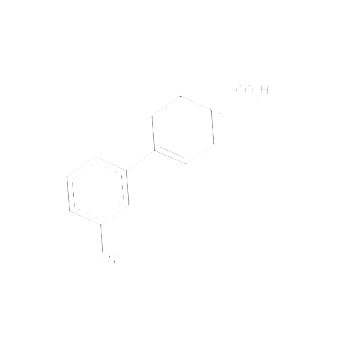 N#Cc1cccc(C2=CC[C@@H](C(=O)O)CC2)c1